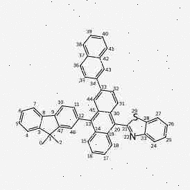 CC1(C)c2ccccc2-c2ccc(-c3c4ccccc4c(-c4nc5ccccc5s4)c4ccc(-c5ccc6ccccc6c5)cc34)cc21